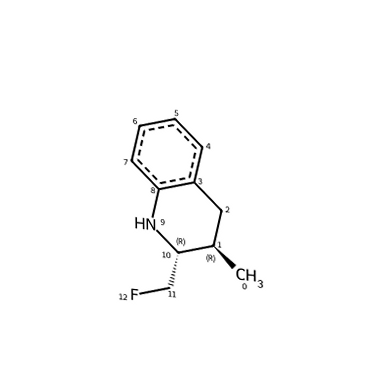 C[C@@H]1Cc2ccccc2N[C@H]1CF